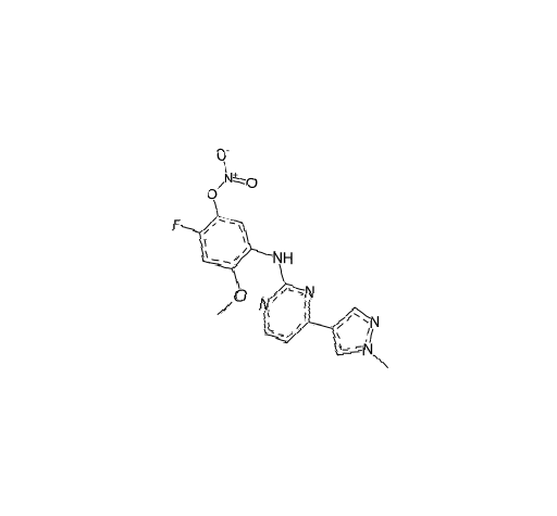 COc1cc(F)c(O[N+](=O)[O-])cc1Nc1nccc(-c2cnn(C)c2)n1